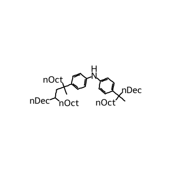 CCCCCCCCCCC(CCCCCCCC)CC(C)(CCCCCCCC)c1ccc(Nc2ccc(C(C)(CCCCCCCC)CCCCCCCCCC)cc2)cc1